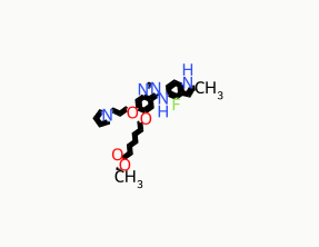 CCOC(=O)CCCCCCOc1cc2c(Nc3ccc4[nH]c(C)cc4c3F)ncnc2cc1OCCCN1CCCC1